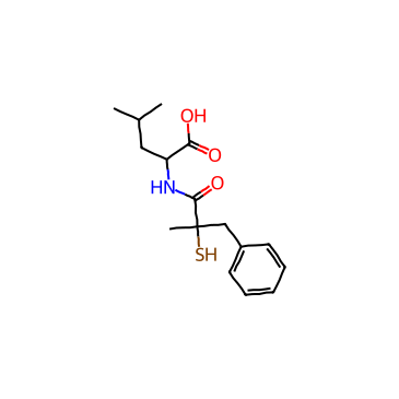 CC(C)CC(NC(=O)C(C)(S)Cc1ccccc1)C(=O)O